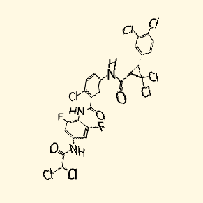 O=C(Nc1c(F)cc(NC(=O)C(Cl)Cl)cc1F)c1cc(NC(=O)C2[C@H](c3ccc(Cl)c(Cl)c3)C2(Cl)Cl)ccc1Cl